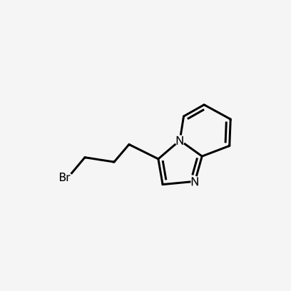 BrCCCc1cnc2ccccn12